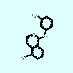 Cc1cccc(Nc2nccc3c(N)cccc23)c1